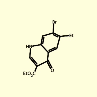 CCOC(=O)c1c[nH]c2cc(Br)c(CC)cc2c1=O